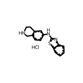 Cl.c1ccc2sc(Nc3ccc4c(c3)CCNC4)nc2c1